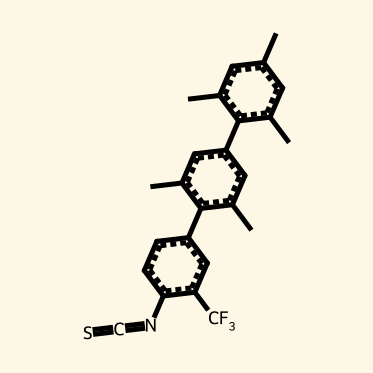 Cc1cc(C)c(-c2cc(C)c(-c3ccc(N=C=S)c(C(F)(F)F)c3)c(C)c2)c(C)c1